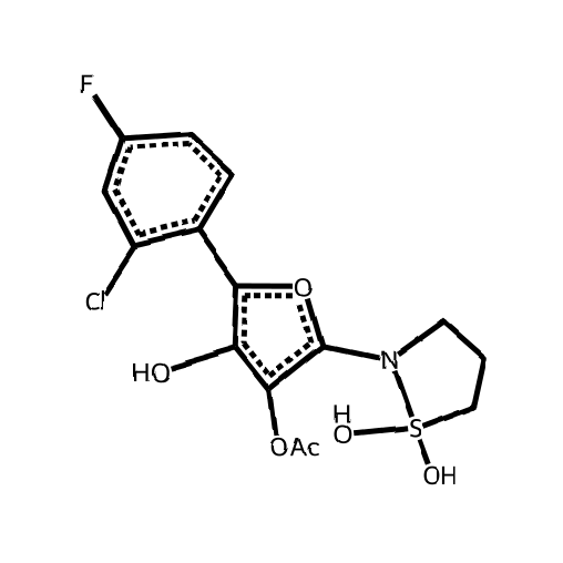 CC(=O)Oc1c(N2CCCS2(O)O)oc(-c2ccc(F)cc2Cl)c1O